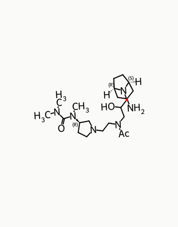 CC(=O)N(CCN1CC[C@@H](N(C)C(=O)N(C)C)C1)CC(O)CN1[C@@H]2CC[C@H]1CC(N)C2